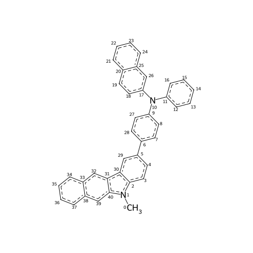 Cn1c2ccc(-c3ccc(N(c4ccccc4)c4ccc5ccccc5c4)cc3)cc2c2cc3ccccc3cc21